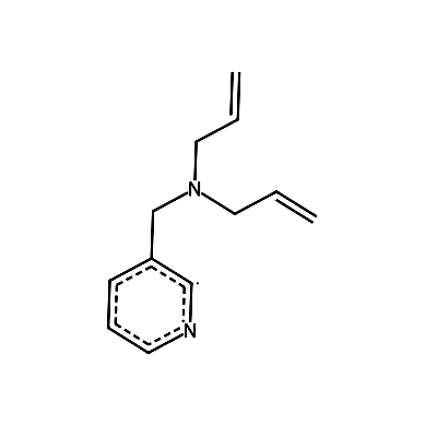 C=CCN(CC=C)Cc1[c]nccc1